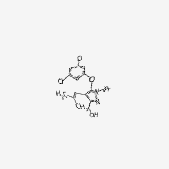 CC(C)=Cc1c(CO)nn(C(C)C)c1Oc1cc(Cl)cc(Cl)c1